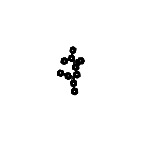 c1ccc(-c2ccc(N(c3ccc(-c4ccccc4)cc3)c3cccc(-c4ccc5c(c4)c4ccccc4n5-c4cc(-c5ccccc5)cc(-c5ccccc5)c4)c3)cc2)cc1